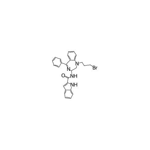 O=C(NC1CN(CCCBr)c2ccccc2C(c2ccccc2)=N1)c1cc2ccccc2[nH]1